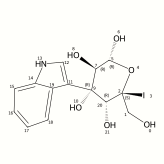 OC[C@@]1(I)O[C@@H](O)[C@H](O)[C@](O)(c2c[nH]c3ccccc23)[C@H]1O